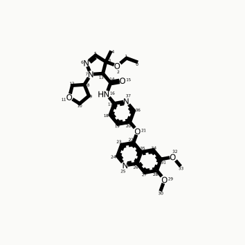 CCOC1(C)C=NN(C2CCOC2)C1C(=O)Nc1ccc(Oc2ccnc3cc(OC)c(OC)cc23)cn1